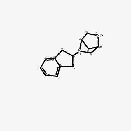 c1ccc2c(c1)CC(N1CC3CC1CN3)C2